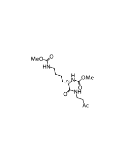 COC(=O)NCCCC[C@H](NC(=O)OC)C(=O)NCCC(C)=O